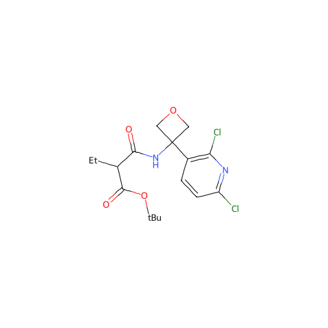 CCC(C(=O)NC1(c2ccc(Cl)nc2Cl)COC1)C(=O)OC(C)(C)C